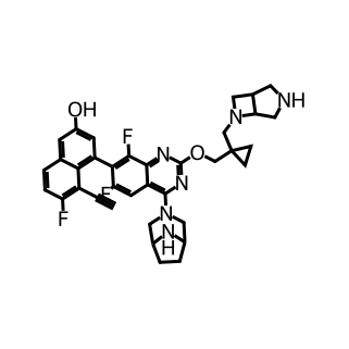 C#Cc1c(F)ccc2cc(O)cc(-c3c(F)cc4c(N5CC6CCC(C5)N6)nc(OCC5(CN6CC7CNCC76)CC5)nc4c3F)c12